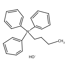 CCCC[N+](c1ccccc1)(c1ccccc1)c1ccccc1.[OH-]